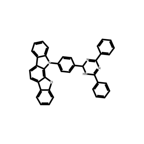 c1ccc(C2=NC(c3ccc(-n4c5ccccc5c5ccc6c7ccccc7oc6c54)cc3)NC(c3ccccc3)=N2)cc1